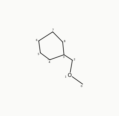 COCC1[CH]CCCC1